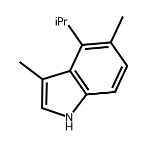 Cc1ccc2[nH]cc(C)c2c1C(C)C